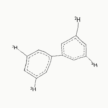 [2H]c1cc([2H])cc(-c2cc([2H])cc([2H])c2)c1